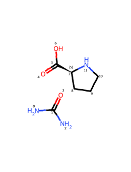 NC(N)=O.O=C(O)[C@@H]1CCCN1